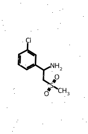 CS(=O)(=O)CC(N)c1cccc(Cl)c1